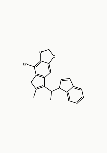 CC1=C(C(C)C2C=Cc3ccccc32)c2cc3c(c(Br)c2C1)OCO3